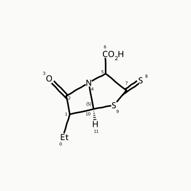 CCC1C(=O)N2C(C(=O)O)C(=S)S[C@@H]12